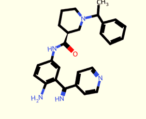 CC(c1ccccc1)N1CCC[C@H](C(=O)Nc2ccc(N)c(C(=N)c3ccncc3)c2)C1